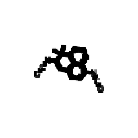 CC1(C)C(N=C=O)=Cc2ccc(N=C=O)c3cccc1c23